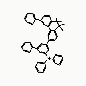 CC1(C)c2ccc(-c3ccccc3)cc2-c2cc(-c3cc(-c4ccccc4)cc(N(c4ccccc4)c4ccccc4)c3)ccc2C1(C)C